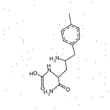 Cc1ccc(CC(N)CC(NC(=O)O)C(N)=O)cc1